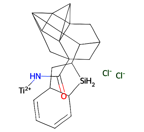 O=C([NH][Ti+2])C12CC3CC45C6C14C1C(C2)(C3C2CC3C=CC=CC3[SiH2]2)C165.[Cl-].[Cl-]